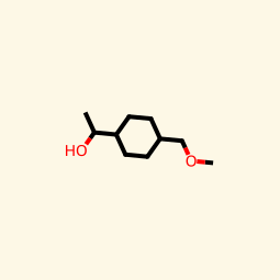 COCC1CCC(C(C)O)CC1